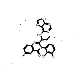 CC[C@H](Nc1ncnc2[nH]cnc12)c1nc2ccc(F)cc2c(=O)n1-c1cccc(Cl)c1Cl